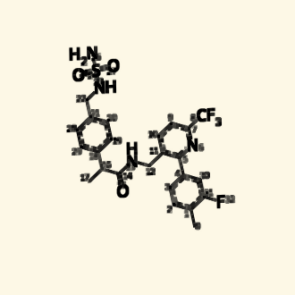 Cc1ccc(-c2nc(C(F)(F)F)ccc2CNC(=O)C(C)c2ccc(CNS(N)(=O)=O)cc2)cc1F